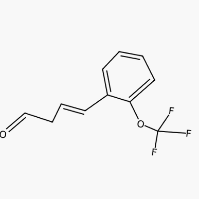 O=CCC=Cc1ccccc1OC(F)(F)F